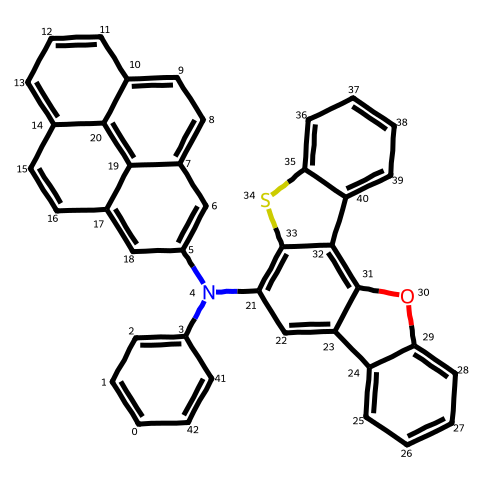 c1ccc(N(c2cc3ccc4cccc5ccc(c2)c3c45)c2cc3c4ccccc4oc3c3c2sc2ccccc23)cc1